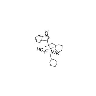 CC(=O)N(CC1CCCCC1)[C@@](C)(C(=O)O)C(C)(CC1CCCCC1)c1c[nH]c2ccccc12